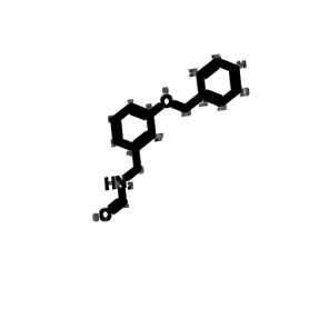 O=[C]NCc1cccc(OCc2ccccc2)c1